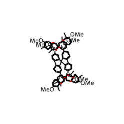 COc1ccc(N(c2ccc(C)c(C)c2)c2ccc3c(c2)C2(c4cc(N(c5ccc(OC)c(C)c5)c5ccc(OC)c(C)c5)ccc4-3)c3cc(N(c4ccc(OC)c(C)c4)c4ccc(OC)c(C)c4)ccc3-c3ccc(N(c4ccc(OC)c(C)c4)c4ccc(OC)c(C)c4)cc32)cc1C